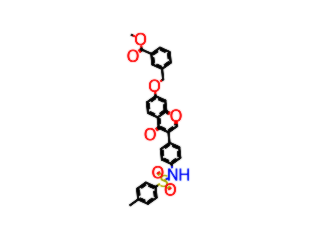 COC(=O)c1cccc(COc2ccc3c(=O)c(-c4ccc(NS(=O)(=O)c5ccc(C)cc5)cc4)coc3c2)c1